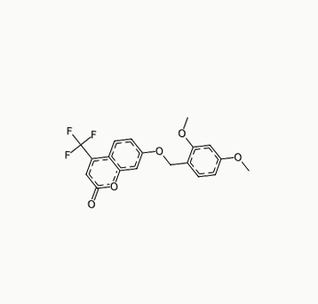 COc1ccc(COc2ccc3c(C(F)(F)F)cc(=O)oc3c2)c(OC)c1